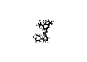 CC(C)(C)c1cc(C=Nn2ccnc2N2CCOCC2)cc(C(C)(C)C)c1O